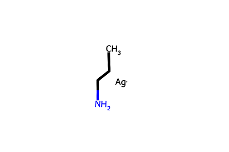 CCCN.[Ag]